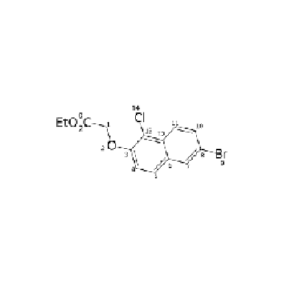 CCOC(=O)COc1ccc2cc(Br)ccc2c1Cl